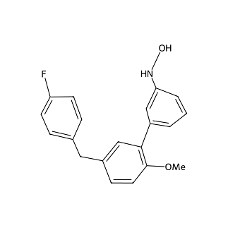 COc1ccc(Cc2ccc(F)cc2)cc1-c1cccc(NO)c1